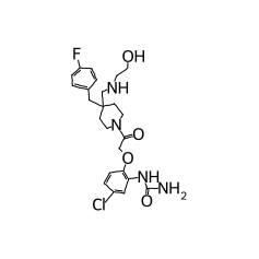 NC(=O)Nc1cc(Cl)ccc1OCC(=O)N1CCC(CNCCO)(Cc2ccc(F)cc2)CC1